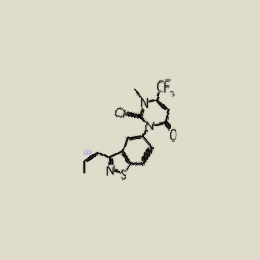 C/C=C\c1nsc2ccc(-n3c(=O)cc(C(F)(F)F)n(C)c3=O)cc12